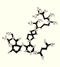 CCN(C(=O)c1cc(F)ccc1Oc1nncnc1N1CCC2(C1)CN([C@H](CCCN(C)[C@H](C)CC(=O)N(C)C)C(C)C)C2)C(C)C.O=C(O)/C=C/C(=O)O